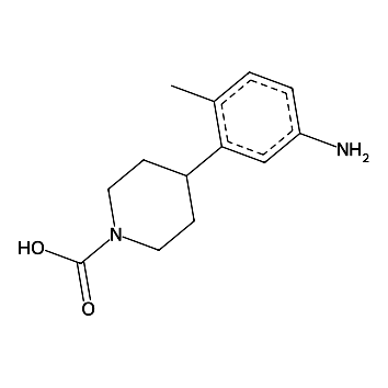 Cc1ccc(N)cc1C1CCN(C(=O)O)CC1